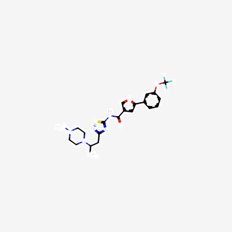 CC(Cc1nsc(NC(=O)c2coc(-c3cccc(OC(F)(F)F)c3)c2)n1)N1CCN(C)CC1